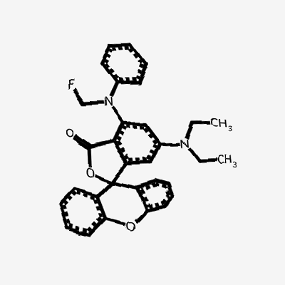 CCN(CC)c1cc(N(CF)c2ccccc2)c2c(c1)C1(OC2=O)c2ccccc2Oc2ccccc21